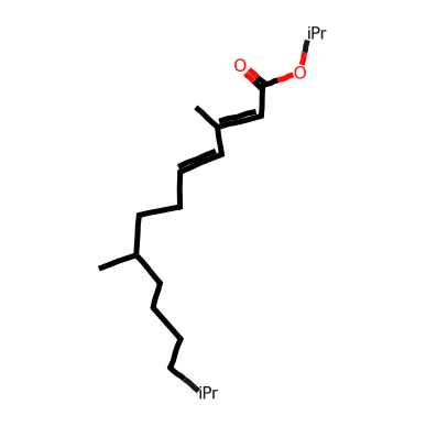 CC(/C=C/CCC(C)CCCCC(C)C)=C\C(=O)OC(C)C